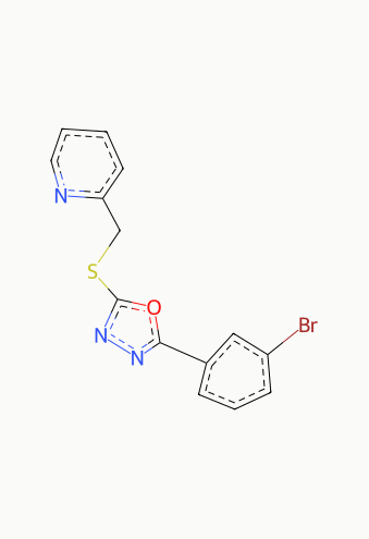 Brc1cccc(-c2nnc(SCc3ccccn3)o2)c1